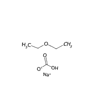 CCOCC.O=C([O-])O.[Na+]